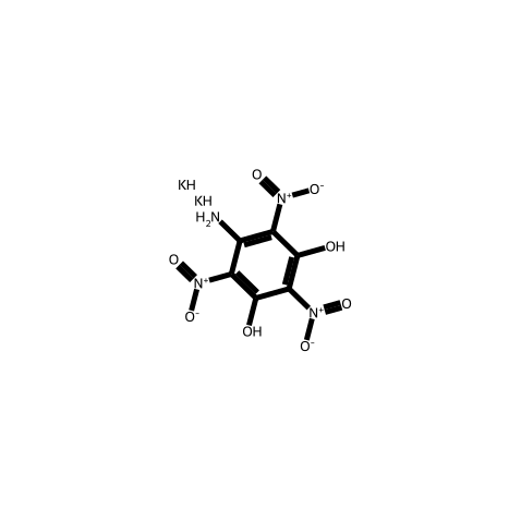 Nc1c([N+](=O)[O-])c(O)c([N+](=O)[O-])c(O)c1[N+](=O)[O-].[KH].[KH]